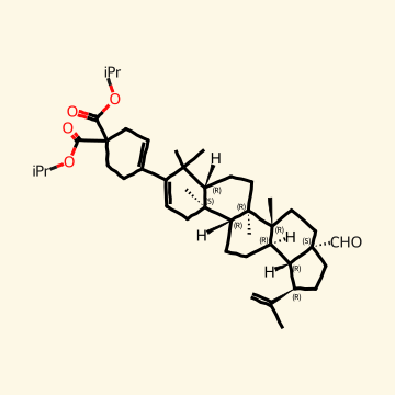 C=C(C)[C@@H]1CC[C@]2(C=O)CC[C@]3(C)[C@H](CC[C@@H]4[C@@]5(C)CC=C(C6=CCC(C(=O)OC(C)C)(C(=O)OC(C)C)CC6)C(C)(C)[C@@H]5CC[C@]43C)[C@@H]12